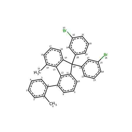 Cc1ccccc1-c1cccc2c1-c1c(C)cccc1C2(c1cccc(Br)c1)c1cccc(Br)c1